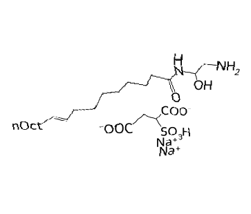 CCCCCCCCC=CCCCCCCCC(=O)NC(O)CN.O=C([O-])CC(C(=O)[O-])S(=O)(=O)O.[Na+].[Na+]